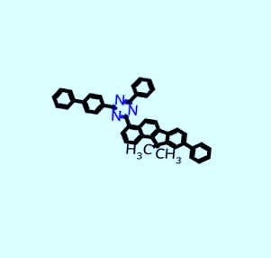 CC1(C)c2cc(-c3ccccc3)ccc2-c2ccc3c(-c4nc(-c5ccccc5)nc(-c5ccc(-c6ccccc6)cc5)n4)cccc3c21